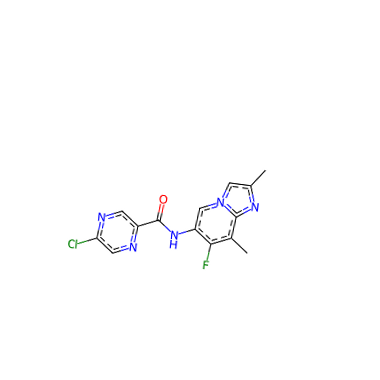 Cc1cn2cc(NC(=O)c3cnc(Cl)cn3)c(F)c(C)c2n1